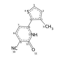 Cc1ccsc1-c1ccc(C#N)c(=O)[nH]1